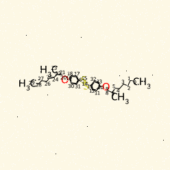 CCCCCCC(C)COc1ccc(SSc2ccc(OCC(C)CCCCCC)cc2)cc1